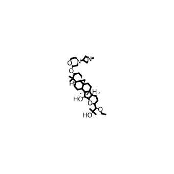 CCO[C@@H](C1C[C@@H](C)[C@H]2C(O1)[C@H](O)[C@@]1(C)C3CC[C@H]4C(C)(C)[C@@H](O[C@H]5CN(C6CN(C)C6)CCO5)CC[C@@]45C[C@@]35CC[C@]21C)C(C)(C)O